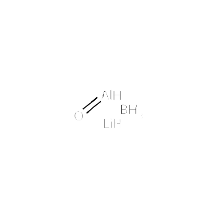 B.[LiH].[O]=[AlH]